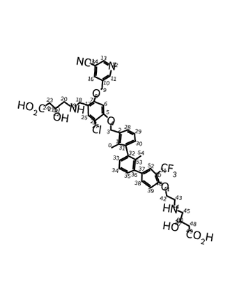 Cc1c(COc2cc(OCc3cncc(C#N)c3)c(CNC[C@@H](O)CC(=O)O)cc2Cl)cccc1-c1cccc(-c2ccc(OCCNC[C@@H](O)CC(=O)O)c(C(F)(F)F)c2)c1C